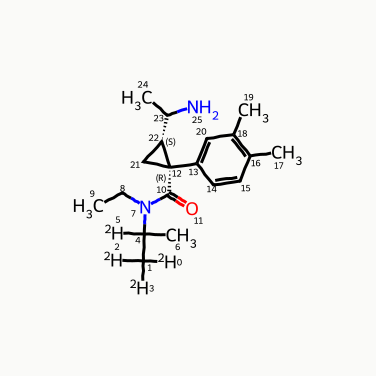 [2H]C([2H])([2H])C([2H])(C)N(CC)C(=O)[C@]1(c2ccc(C)c(C)c2)C[C@@H]1C(C)N